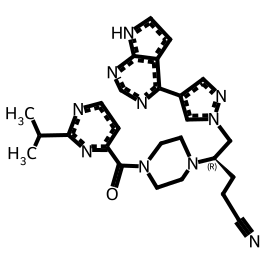 CC(C)c1nccc(C(=O)N2CCN([C@H](CCC#N)Cn3cc(-c4ncnc5[nH]ccc45)cn3)CC2)n1